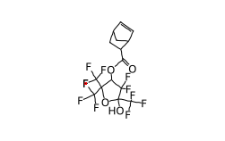 O=C(OC1C(F)(F)C(O)(C(F)(F)F)OC1(C(F)(F)F)C(F)(F)F)C1CC2C=CC1C2